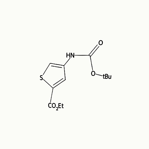 CCOC(=O)c1cc(NC(=O)OC(C)(C)C)cs1